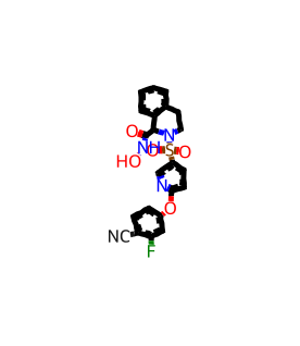 N#Cc1ccc(Oc2ccc(S(=O)(=O)N3CCc4ccccc4C3C(=O)NO)cn2)cc1F